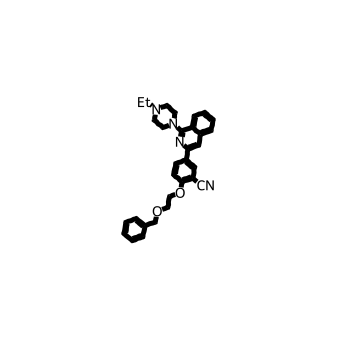 CCN1CCN(c2nc(-c3ccc(OCCOCc4ccccc4)c(C#N)c3)cc3ccccc23)CC1